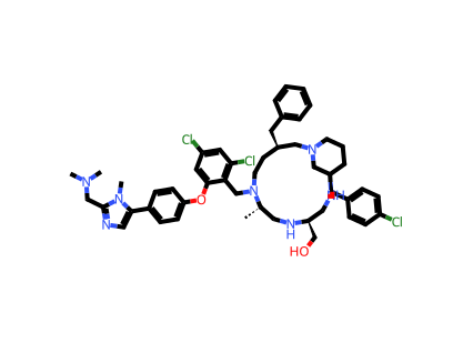 C[C@H]1CN[C@H](CO)CN[C@@]2(Cc3ccc(Cl)cc3)CCCN(C[C@H](Cc3ccccc3)CCN1Cc1c(Cl)cc(Cl)cc1Oc1ccc(-c3cnc(CN(C)C)n3C)cc1)C2